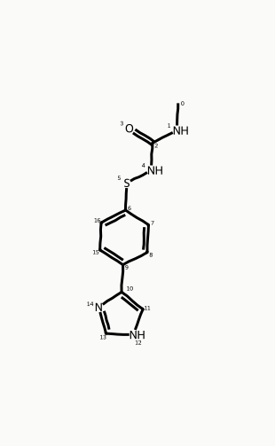 CNC(=O)NSc1ccc(-c2c[nH]cn2)cc1